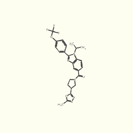 Cc1nnc(C2CCN(C(=O)c3ccc4c(c3)nc(-c3ccc(OC(F)(F)F)cc3)n4C(C)C)C2)o1